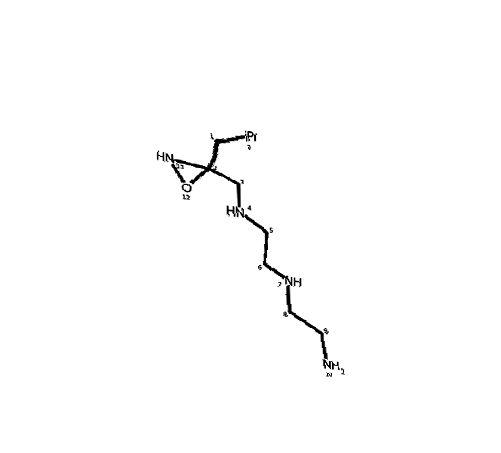 CC(C)CC1(CNCCNCCN)NO1